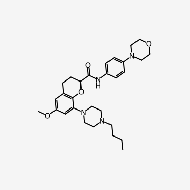 CCCCN1CCN(c2cc(OC)cc3c2OC(C(=O)Nc2ccc(N4CCOCC4)cc2)CC3)CC1